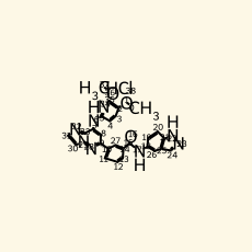 COc1ccc(Nc2cc(-c3cccc(C(=O)Nc4ccc5[nH]ncc5c4)c3)nn3ccnc23)nc1OC.Cl